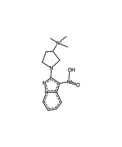 C[N+](C)(C)C1CCN(c2nn3ccccc3c2[N+](=O)O)C1